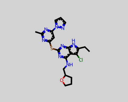 CCc1[nH]c2nc(Sc3cc(-n4cccn4)nc(C)n3)nc(NCC3CCCO3)c2c1Cl